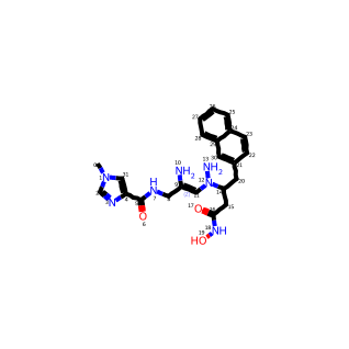 Cn1cnc(C(=O)NC/C(N)=C/N(N)C(CC(=O)NO)Cc2ccc3ccccc3c2)c1